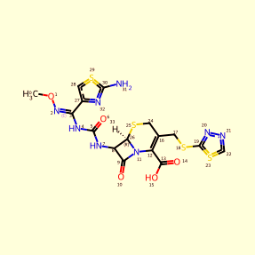 CO/N=C(/NC(=O)NC1C(=O)N2C(C(=O)O)=C(CSc3nncs3)CS[C@H]12)c1csc(N)n1